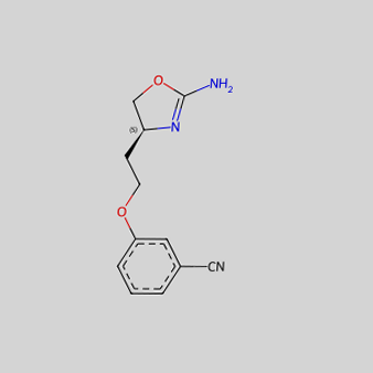 N#Cc1cccc(OCC[C@H]2COC(N)=N2)c1